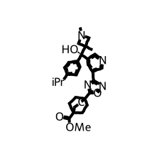 COC(=O)C12CCC(c3nc(-c4cncc([C@@](O)(c5ccc(C(C)C)cc5)C5(C)CN(C)C5)c4)no3)(CC1)CC2